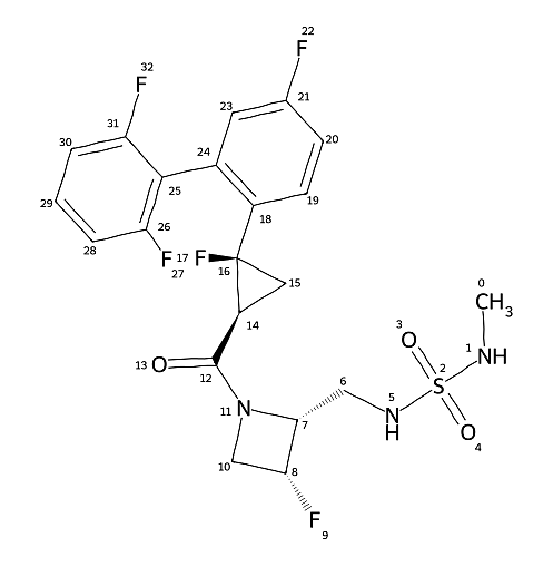 CNS(=O)(=O)NC[C@@H]1[C@H](F)CN1C(=O)[C@@H]1C[C@@]1(F)c1ccc(F)cc1-c1c(F)cccc1F